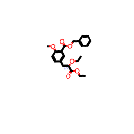 CCOC(=O)/C(=C/c1ccc(OC)c(C(=O)OCc2ccccc2)c1)OCC